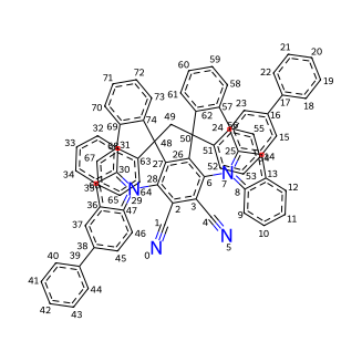 N#Cc1c(C#N)c(-n2c3ccccc3c3cc(-c4ccccc4)ccc32)c2c(c1-n1c3ccccc3c3cc(-c4ccccc4)ccc31)C1(CC23c2ccccc2-c2ccccc23)c2ccccc2-c2ccccc21